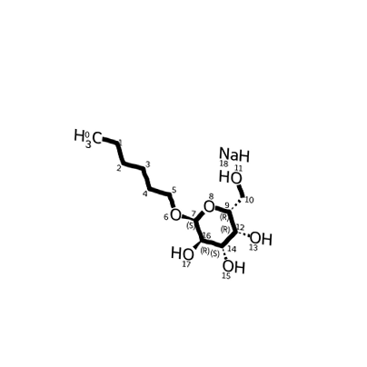 CCCCCCO[C@H]1O[C@H](CO)[C@H](O)[C@H](O)[C@H]1O.[NaH]